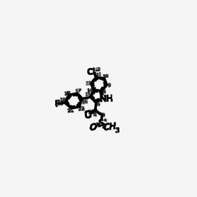 C[S+]([O-])CC(=O)c1[nH]c2ccc(Cl)cc2c1-c1ccc(F)cc1